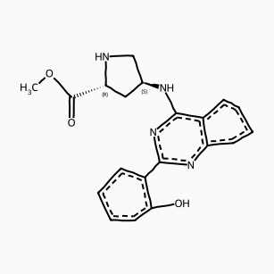 COC(=O)[C@H]1C[C@H](Nc2nc(-c3ccccc3O)nc3ccccc23)CN1